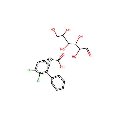 CC(=O)O.Clc1cccc(-c2ccccc2)c1Cl.O=CC(O)C(O)C(O)C(O)CO